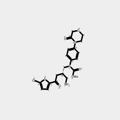 COC(=O)N(C[C@H](CN)CC(=O)c1ccc(Cl)s1)c1ccc(N2CCOCC2=O)cc1